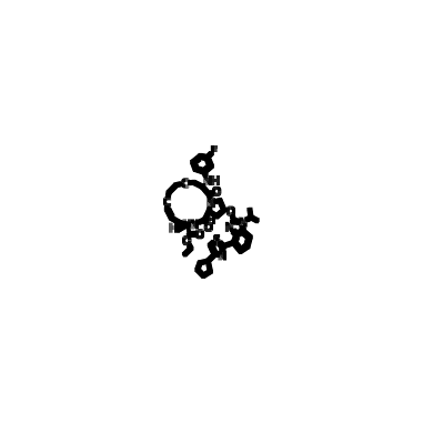 CCOC(=O)[C@@]12C[C@H]1/C=C\CCCCC[C@H](Nc1cccc(F)c1)C(=O)N1C[C@H](Oc3nc4c(-c5nc(C6CCCC6)cs5)cccc4n3C(C)C)C[C@H]1C(=O)N2